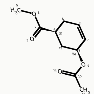 COC(=O)[C@H]1CC=C[C@@H](OC(C)=O)C1